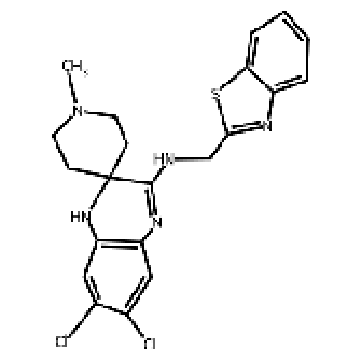 CN1CCC2(CC1)Nc1cc(Cl)c(Cl)cc1N=C2NCc1nc2ccccc2s1